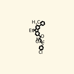 CCn1c2ccc(C(=O)C(CCSc3ccc(Cl)cc3)=NOC(C)=O)cc2c2cc(-c3ccccc3C)ccc21